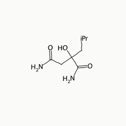 CC(C)CC(O)(CC(N)=O)C(N)=O